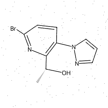 C[C@@H](O)c1nc(Br)ccc1-n1cccn1